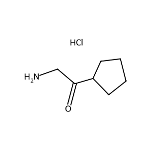 Cl.NCC(=O)C1CCCC1